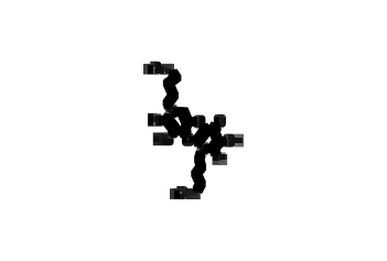 CCCCCCCCCCCCCCn1cc(Oc2cn(CCCCCCCCCCCCCC)c(CC)c(O)c2=O)c(=O)c(O)c1CC